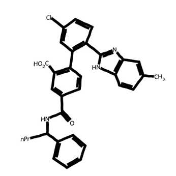 CCCC(NC(=O)c1ccc(-c2cc(Cl)ccc2-c2nc3cc(C)ccc3[nH]2)c(C(=O)O)c1)c1ccccc1